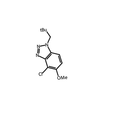 COc1ccc2c(nnn2CC(C)(C)C)c1Cl